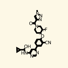 Cn1cc(C(=O)N2CC[C@H](Oc3ccc(-c4cc(NC(O)C5CC5)ncn4)cc3C#N)[C@H](F)C2)nn1